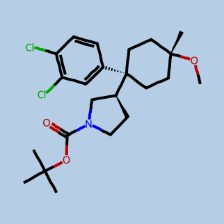 CO[C@]1(C)CC[C@@](c2ccc(Cl)c(Cl)c2)([C@H]2CCN(C(=O)OC(C)(C)C)C2)CC1